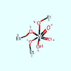 CC[O][V](=[O])(=[O])([OH])([O]CC)[O]CC